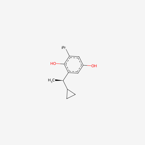 CC(C)c1cc(O)cc([C@H](C)C2CC2)c1O